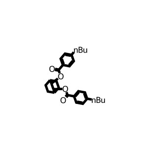 CCCCc1ccc(C(=O)OC2C3CCC(CC3)C2OC(=O)c2ccc(CCCC)cc2)cc1